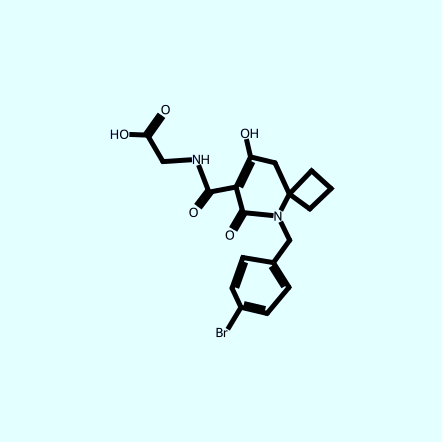 O=C(O)CNC(=O)C1=C(O)CC2(CCC2)N(Cc2ccc(Br)cc2)C1=O